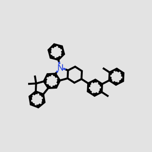 Cc1ccccc1-c1cc(C2CCC3C(C2)c2cc4c(cc2N3c2ccccc2)C(C)(C)c2ccccc2-4)ccc1C